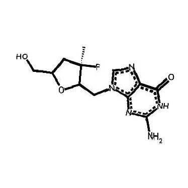 C[C@@]1(F)CC(CO)OC1Cn1cnc2c(=O)[nH]c(N)nc21